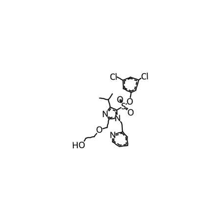 CC(C)c1nc(COCCO)n(Cc2ccccn2)c1S(=O)(=O)Oc1cc(Cl)cc(Cl)c1